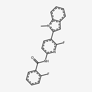 Cn1c(-c2ccc(NC(=O)c3ccccc3F)nc2F)cc2ccccc21